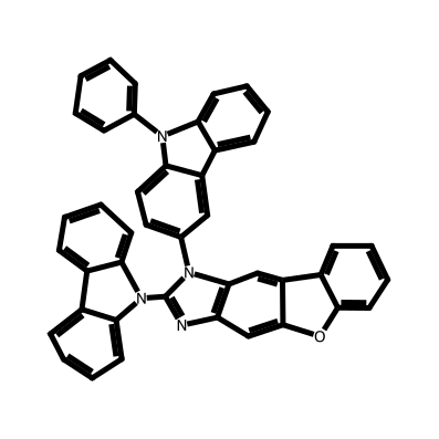 c1ccc(-n2c3ccccc3c3cc(-n4c(-n5c6ccccc6c6ccccc65)nc5cc6oc7ccccc7c6cc54)ccc32)cc1